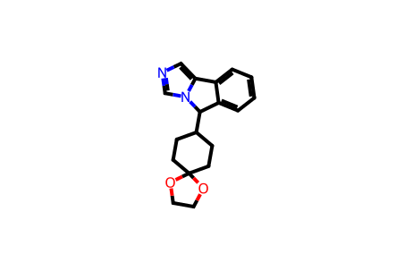 c1ccc2c(c1)-c1cncn1C2C1CCC2(CC1)OCCO2